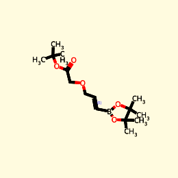 CC(C)(C)OC(=O)COC/C=C/B1OC(C)(C)C(C)(C)O1